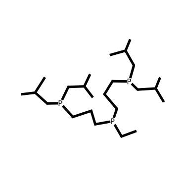 CCP(CCCP(CC(C)C)CC(C)C)CCCP(CC(C)C)CC(C)C